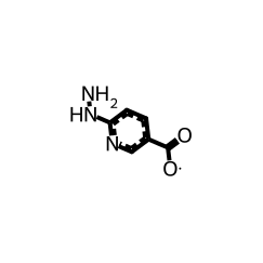 NNc1ccc(C([O])=O)cn1